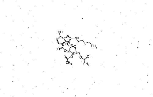 CCCCCNc1nc2c(O)ncnc2n1[C@@H]1O[C@H](COC(C)=O)[C@@H](OC(C)=O)[C@H]1OC(C)=O